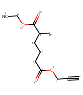 C#CCOC(=O)CCCC(C)C(=O)OCC#N